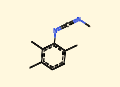 CN=C=Nc1c(C)ccc(C)c1C